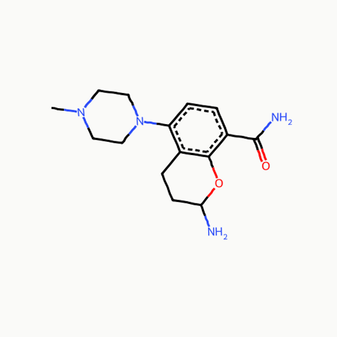 CN1CCN(c2ccc(C(N)=O)c3c2CCC(N)O3)CC1